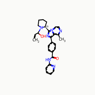 C=CC(O)N1CCCC[C@H]1c1nc(-c2ccc(C(=O)Nc3ccccn3)cc2)c2c(C)nccn12